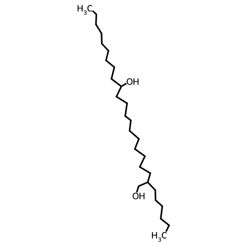 CCCCCCCCCC(O)CCCCCCCCCCC(CO)CCCCCC